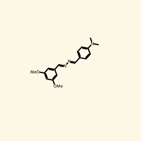 COc1cc(/C=N/N=C/c2ccc(N(C)C)cc2)cc(OC)c1